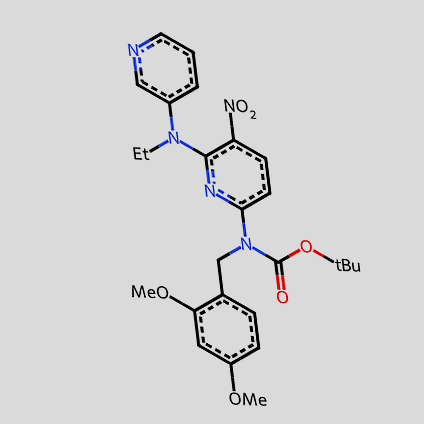 CCN(c1cccnc1)c1nc(N(Cc2ccc(OC)cc2OC)C(=O)OC(C)(C)C)ccc1[N+](=O)[O-]